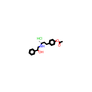 CC(=O)Oc1ccc(CC[C@@H](C)NCC(O)c2ccccc2)cc1.Cl